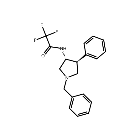 O=C(N[C@H]1CN(Cc2ccccc2)C[C@@H]1c1ccccc1)C(F)(F)F